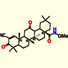 CONC(=O)[C@]12CCC(C)(C)CC1C1C(=O)CC3[C@@]4(C)C=C(C#N)C(=O)C(C)(C)C4CC[C@@]3(C)[C@]1(C)CC2